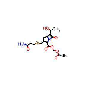 CC(O)C1C(=O)N2C(C(=O)OCOC(=O)C(C)(C)C)=C(CSCCC(N)=O)CC12